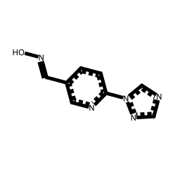 O/N=C/c1ccc(-n2cncn2)nc1